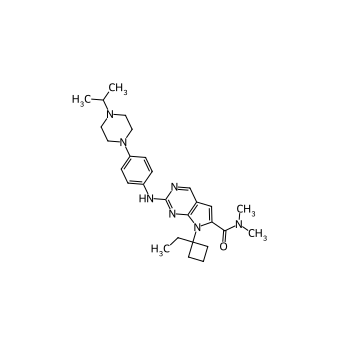 CCC1(n2c(C(=O)N(C)C)cc3cnc(Nc4ccc(N5CCN(C(C)C)CC5)cc4)nc32)CCC1